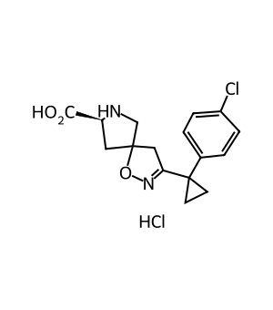 Cl.O=C(O)[C@@H]1CC2(CN1)CC(C1(c3ccc(Cl)cc3)CC1)=NO2